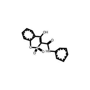 O=C(Nc1ccccc1)C1=C(O)c2ccccc2OS1(=O)=O